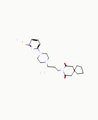 COc1cccc(N2CCN(CCCN3C(=O)CC4(CCCC4)CC3=O)CC2)n1.Cl